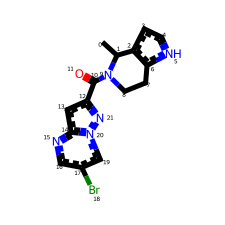 CC1c2cc[nH]c2CCN1C(=O)c1cc2ncc(Br)cn2n1